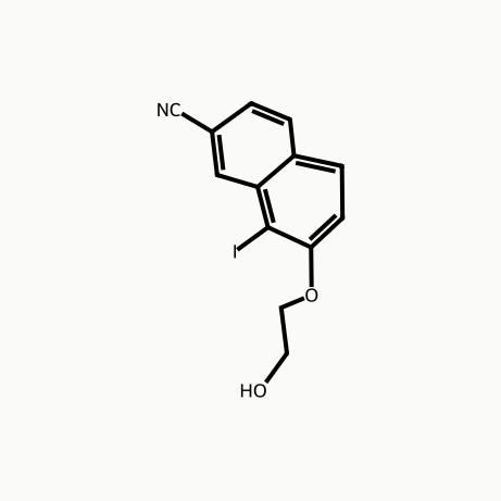 N#Cc1ccc2ccc(OCCO)c(I)c2c1